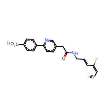 CCC/C=C(F)\C=C\CNC(=O)Cc1ccc(-c2ccc(C(=O)O)cc2)nc1